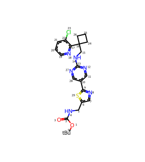 CC(C)(C)OC(=O)NCc1cnc(-c2cnc(NCC3(c4ncccc4Cl)CCC3)nc2)s1